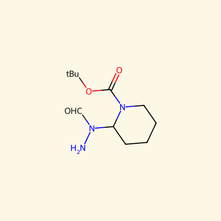 CC(C)(C)OC(=O)N1CCCCC1N(N)C=O